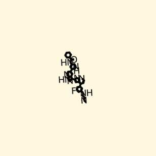 CN(C)CCNc1cc(F)cc(-c2ccnc3[nH]c(-c4n[nH]c5ncc(-c6cncc(NC(=O)C7CCCCC7)c6)cc45)cc23)c1